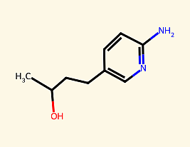 CC(O)CCc1ccc(N)nc1